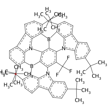 CC(C)(C)c1ccc2c3ccc(C(C)(C)C)c4c3n(c2c1)-c1c2c3c5c(c1C(F)(F)F)-n1c6cc(C(C)(C)C)ccc6c6ccc(C(C)(C)C)c(c61)B5c1c(C(C)(C)C)ccc5c6ccc(C(C)(C)C)c(c6n-3c15)B24